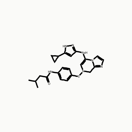 CC(C)CC(=O)Nc1ccc(SN2C=C([AsH]c3cc(C4CC4)[nH]n3)[N+]3C=CN=C3C2)cc1